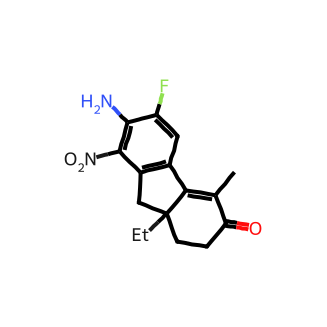 CCC12CCC(=O)C(C)=C1c1cc(F)c(N)c([N+](=O)[O-])c1C2